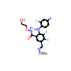 CON=Cc1cc(C(=O)NOCCO)c(Nc2ccc(I)cc2F)c(F)c1F